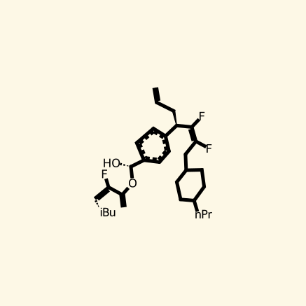 C=CC[C@@H](/C(F)=C(/F)CC1CCC(CCC)CC1)c1ccc([C@@H](O)OC(=C)/C(F)=C\[C@@H](C)CC)cc1